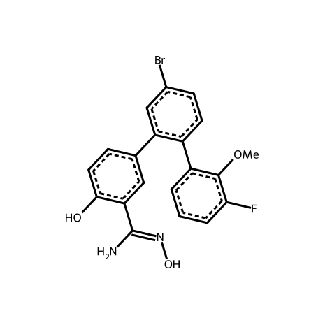 COc1c(F)cccc1-c1ccc(Br)cc1-c1ccc(O)c(C(N)=NO)c1